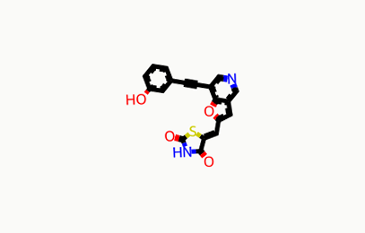 O=C1NC(=O)C(=Cc2cc3cncc(C#Cc4cccc(O)c4)c3o2)S1